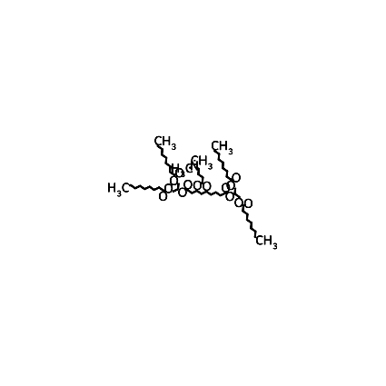 CCCCCCCCC(=O)OCC(COC(=O)CCCCCCCC)OC(=O)CCCC(CCCC(=O)OC(COC(=O)CCCCCCCC)COC(=O)CCCCCCCC)OC(=O)CCCN(C)C